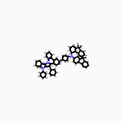 CC1(C)c2ccccc2-c2ccc(N(c3ccc(-c4ccc5c(c4)c4ccccc4n4c5c(-c5ccccc5)c5c4c4ccccc4n5-c4ccccc4)cc3)c3cccc4c3-c3ccccc3C4(C)C)cc21